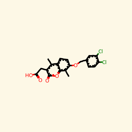 Cc1c(CC(=O)O)c(=O)oc2c(C)c(OCc3ccc(Cl)c(Cl)c3)ccc12